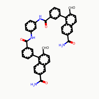 NC(=O)c1ccc2c(-c3cccc(C(=O)Nc4cccc(NC(=O)c5cccc(-c6c(C=O)ccc7cc(C(N)=O)ccc67)c5)c4)c3)c(C=O)ccc2c1